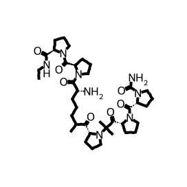 CCNC(=O)[C@H]1CCCN1C(=O)[C@H]1CCCN1C(=O)[C@H](N)CCCC(C)C(=O)[C@H]1CCCN1C(C)(C)C(=O)[C@H]1CCCN1C(=O)[C@H]1CCCN1C(N)=O